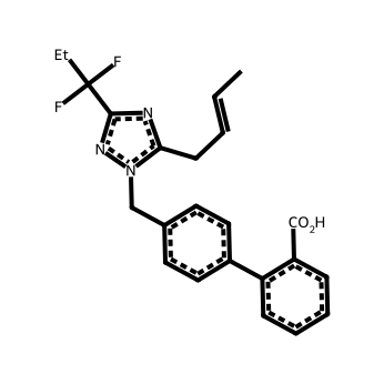 C/C=C/Cc1nc(C(F)(F)CC)nn1Cc1ccc(-c2ccccc2C(=O)O)cc1